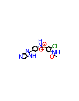 CC(=O)Nc1ccc(S(=O)(=O)Nc2ccc(-c3nc4cnccc4[nH]3)cc2)cc1Cl